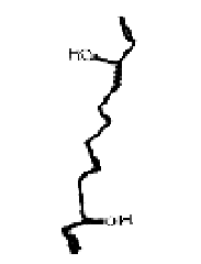 C=CC(O)CCCCCCC(O)C=C